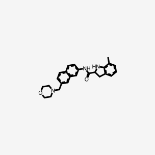 Cc1cccc2c1NC(C(=O)Nc1ccc3ccc(CN4CCOCC4)cc3c1)C2